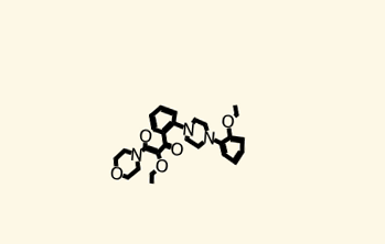 CCOc1ccccc1N1CCN(c2cccc3oc(N4CCOCC4)c(OCC)c(=O)c23)CC1